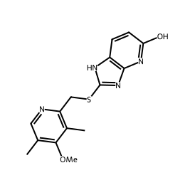 COc1c(C)cnc(CSc2nc3nc(O)ccc3[nH]2)c1C